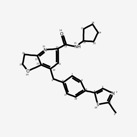 Cc1ncc(-c2ccc(Cc3cc(C(=O)NC4CCCC4)nc4c3OCC4)cc2)s1